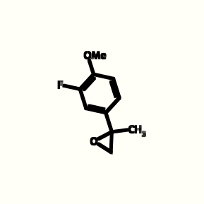 COc1ccc(C2(C)CO2)cc1F